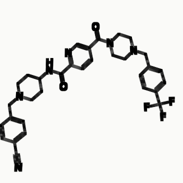 N#Cc1ccc(CN2CCC(NC(=O)c3ccc(C(=O)N4CCN(Cc5ccc(C(F)(F)F)cc5)CC4)cn3)CC2)cc1